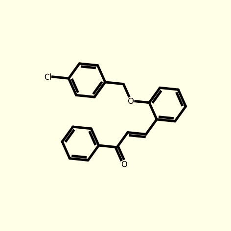 O=C(C=Cc1ccccc1OCc1ccc(Cl)cc1)c1ccccc1